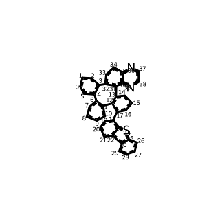 c1ccc2c(c1)-c1ccccc1-c1c(cccc1-c1cccc3c1sc1ccccc13)-c1c-2ccc2nccnc12